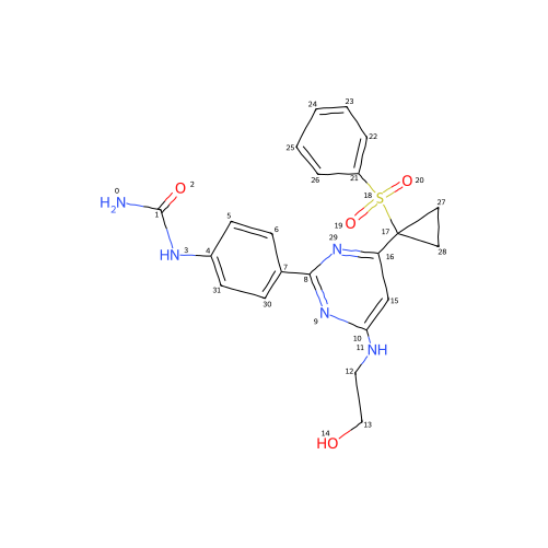 NC(=O)Nc1ccc(-c2nc(NCCO)cc(C3(S(=O)(=O)c4ccccc4)CC3)n2)cc1